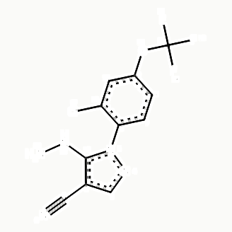 N#Cc1cnn(-c2ccc(OC(F)(F)F)cc2Cl)c1NN